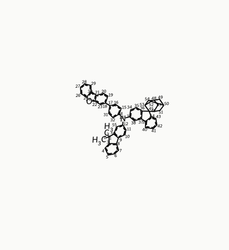 CC1(C)c2ccccc2-c2ccc(N(c3ccc(-c4ccc5c(c4)oc4ccccc45)cc3)c3ccc4c(c3)-c3ccccc3C43C4CC5CC(C4)CC3C5)cc21